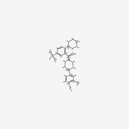 CS(=O)(=O)c1ccc(N2CCOCC2)c(C(=O)N2CCN(c3ccc(F)c(Cl)c3)CC2)c1